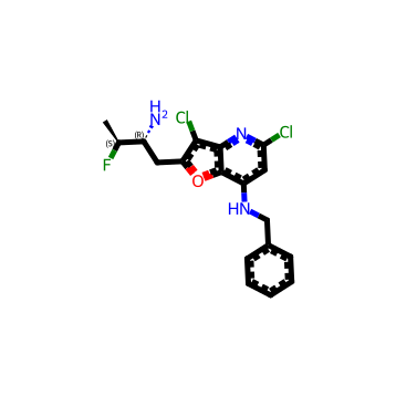 C[C@H](F)[C@H](N)Cc1oc2c(NCc3ccccc3)cc(Cl)nc2c1Cl